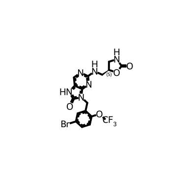 O=C1NC[C@H](CNc2ncc3[nH]c(=O)n(Cc4cc(Br)ccc4OC(F)(F)F)c3n2)O1